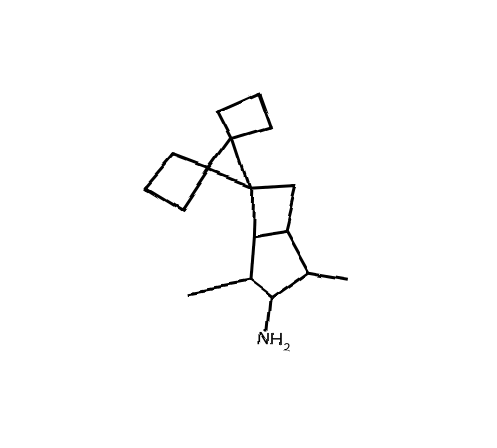 CC1C(N)C(C)C2C1CC21C2(CCC2)C12CCC2